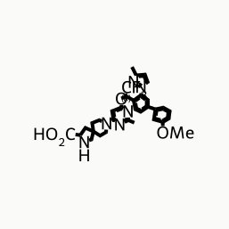 COc1cccc(-c2ccc([C@@H](Oc3cc(N4CCC5(CC4)CNC(C(=O)O)C5)nc(C)n3)C(F)(F)F)c(-n3ccc(C)n3)c2)c1